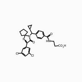 O=C(O)CCNC(=O)c1ccc(C(C2CC2)N2C(=O)C(c3cc(Cl)cc(Cl)c3)=NC23CCCC3)cc1